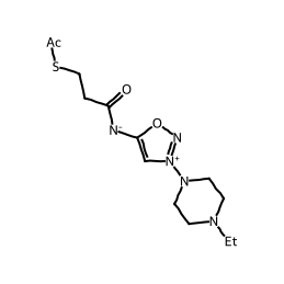 CCN1CCN([n+]2cc([N-]C(=O)CCSC(C)=O)on2)CC1